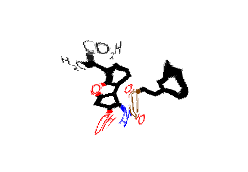 C=C(C(=O)O)c1cccc2c1OC1CC(O)C(NS(=O)(=O)CCc3ccccc3)C21